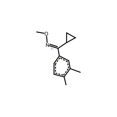 CO/N=C(/c1ccc(C)c(C)c1)C1CC1